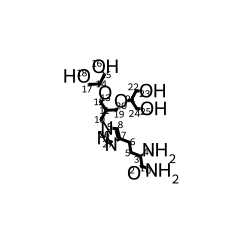 NC(=O)[C@H](N)CCc1cn(CC(COC(CO)CO)COC(CO)CO)nn1